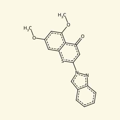 COc1cc(OC)c2c(=O)cc(-n3cc4ccccc4n3)sc2c1